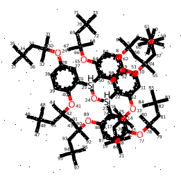 CC(C)(C)CC(C)(C)Oc1ccc(OC(C)(C)CC(C)(C)C)c([SiH](O[SiH](c2cc(OC(C)(C)CC(C)(C)C)ccc2OC(C)(C)CC(C)(C)C)c2cc(OC(C)(C)CC(C)(C)C)ccc2OC(C)(C)CC(C)(C)C)c2cc(OC(C)(C)CC(C)(C)C)ccc2OC(C)(C)CC(C)(C)C)c1